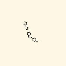 COC(=O)C1CCC(C(=O)N(C)[C@@H](c2ccc(Nc3cnn(-c4cccnn4)c3C(F)(F)F)cc2)C(F)(F)F)CC1